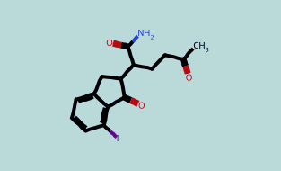 CC(=O)CCC(C(N)=O)C1Cc2cccc(I)c2C1=O